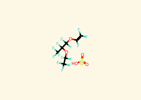 FC(F)=C(F)OC(F)(F)C(F)(OC(F)(F)C(F)(F)F)C(F)(F)F.O=[SH](=O)O